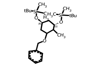 CC1C(OCc2ccccc2)C[C@@H](O[Si](C)(C)C(C)(C)C)C[C@@H]1O[Si](C)(C)C(C)(C)C